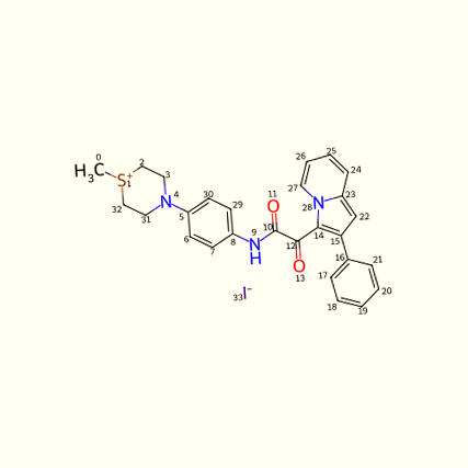 C[S+]1CCN(c2ccc(NC(=O)C(=O)c3c(-c4ccccc4)cc4ccccn34)cc2)CC1.[I-]